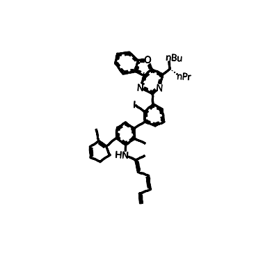 C=C/C=C\C=C(/C)Nc1c(C2=C(C)C=CCC2)ccc(-c2cccc(-c3nc([C@@H](CCC)CCCC)c4oc5ccccc5c4n3)c2I)c1C